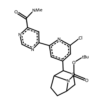 CNC(=O)c1cc(-c2cc(C3OCC4CCC3N4C(=O)OC(C)(C)C)cc(Cl)n2)ncn1